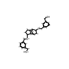 SCc1cccc(CSC2CC3CC2C2CCC(SCc4cccc(CS)c4)C32)c1